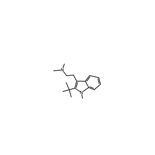 CN(C)CCc1c(C(C)(C)C)n(C)c2ccccc12